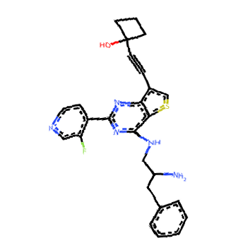 NC(CNc1nc(-c2ccncc2F)nc2c(C#CC3(O)CCC3)csc12)Cc1ccccc1